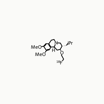 COc1cc2c(cc1OC)[C@@H]1C[C@H](OCC[18F])[C@@H](CC(C)C)CN1CC2